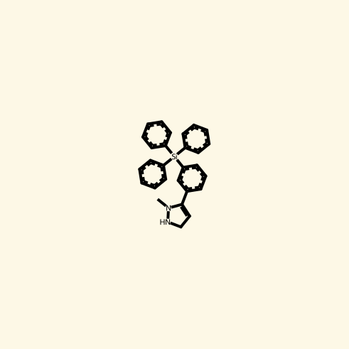 CN1NCC=C1c1cccc([Si](c2ccccc2)(c2ccccc2)c2ccccc2)c1